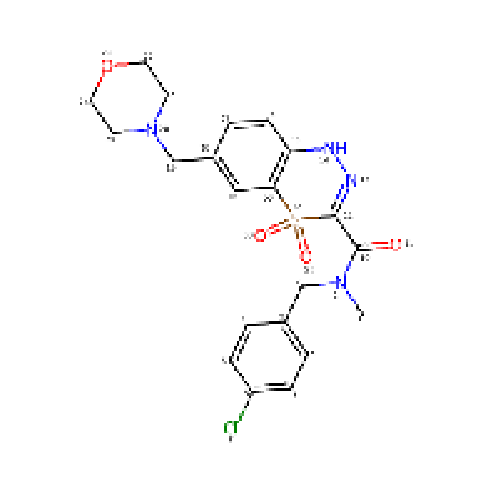 CN(Cc1ccc(Cl)cc1)C(=O)C1=NNc2ccc(CN3CCOCC3)cc2S1(=O)=O